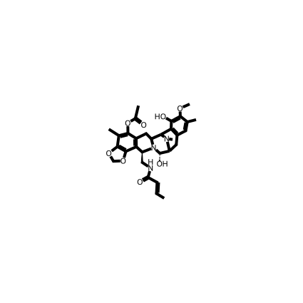 C/C=C/C(=O)NC[C@H]1c2c(c(OC(C)=O)c(C)c3c2OCO3)CC2C3c4c(cc(C)c(OC)c4O)CC([C@H](O)N21)N3C